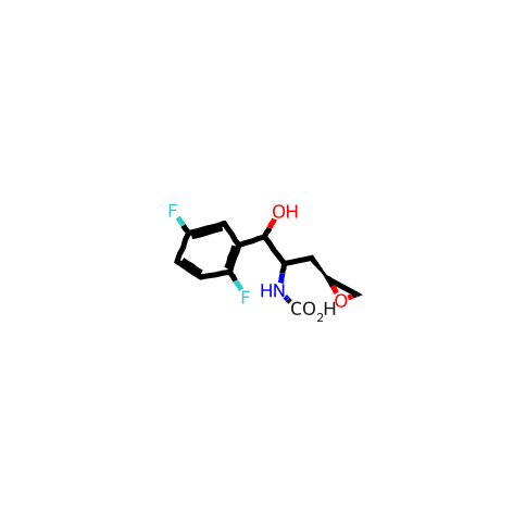 O=C(O)NC(C[C@H]1CO1)C(O)c1cc(F)ccc1F